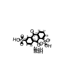 O=C1c2cc(S(=O)(=O)O)ccc2C(=O)c2c1cccc2S(=O)(=O)O.[NaH].[NaH]